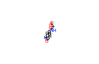 COC(=O)CC(C)(C)CC(=O)NC1CC[C@H]2[C@@H]3CC[C@H]4N(C)C(=O)C=C[C@]4(C)[C@H]3CC[C@]12C